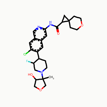 CC1(N2CCC(c3cc4cc(NC(=O)C5CC56CCOCC6)ncc4cc3Cl)C(F)C2)COCC1O